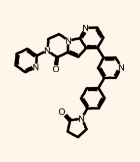 O=C1CCCN1c1ccc(-c2cncc(-c3ccnc4c3cc3n4CCN(c4ccccn4)C3=O)c2)cc1